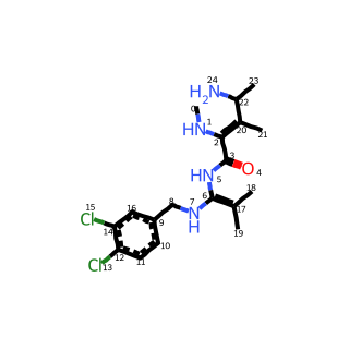 CN/C(C(=O)NC(NCc1ccc(Cl)c(Cl)c1)=C(C)C)=C(/C)C(C)N